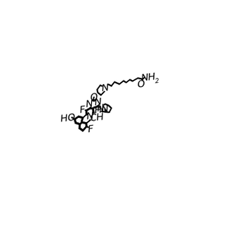 C#Cc1c(F)ccc2cc(O)cc(-c3ncc4c(N5CC6CCC(C5)N6)nc(OC5CCN(CCCCCCCCCC(N)=O)CC5)nc4c3F)c12